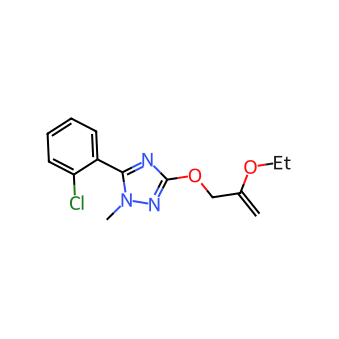 C=C(COc1nc(-c2ccccc2Cl)n(C)n1)OCC